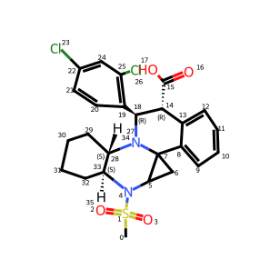 CS(=O)(=O)N1C2CC23c2ccccc2[C@@H](C(=O)O)[C@H](c2ccc(Cl)cc2Cl)N3[C@H]2CCCC[C@@H]21